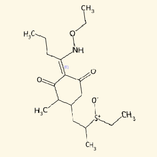 CCC/C(NOCC)=C1/C(=O)CC(CC(C)[S+]([O-])CC)C(C)C1=O